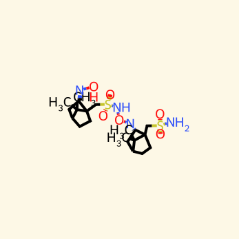 CC1(C)C2CCC1(CS(=O)(=O)NON=C1CC3CCC1(CS(N)(=O)=O)C3(C)C)C(=NO)C2